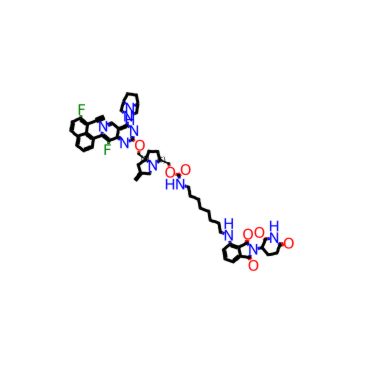 C#Cc1c(F)ccc2cccc(-c3ncc4c(N5CC6CCC(C5)N6)nc(OC[C@@]56CC[C@@H](COC(=O)NCCCCCCCCNc7cccc8c7C(=O)N(C7CCC(=O)NC7=O)C8=O)N5CC(=C)C6)nc4c3F)c12